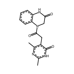 Cc1nc(C)c(CC(=O)N2CC(=O)Nc3ccccc32)c(=O)[nH]1